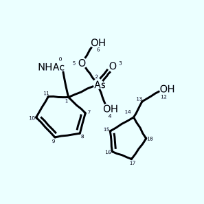 CC(=O)NC1([As](=O)(O)OO)C=CC=CC1.OCC1C=CCC1